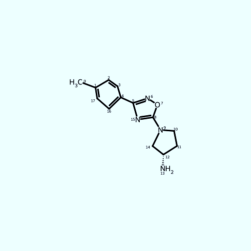 Cc1ccc(-c2noc(N3CC[C@H](N)C3)n2)cc1